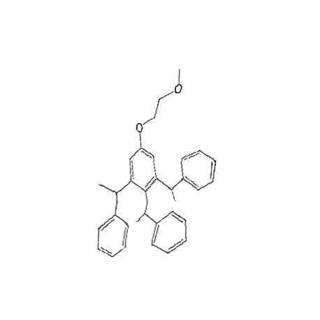 COCCOc1cc(C(C)c2ccccc2)c(C(C)c2ccccc2)c(C(C)c2ccccc2)c1